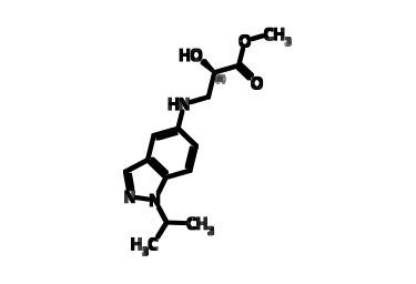 COC(=O)[C@H](O)CNc1ccc2c(cnn2C(C)C)c1